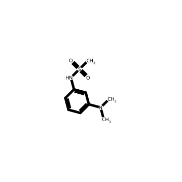 CN(C)c1cccc(NS(C)(=O)=O)c1